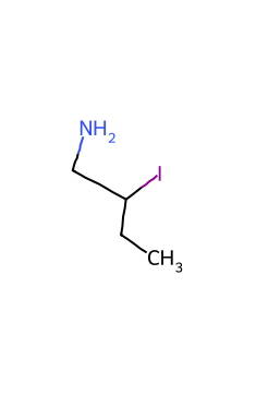 CCC(I)CN